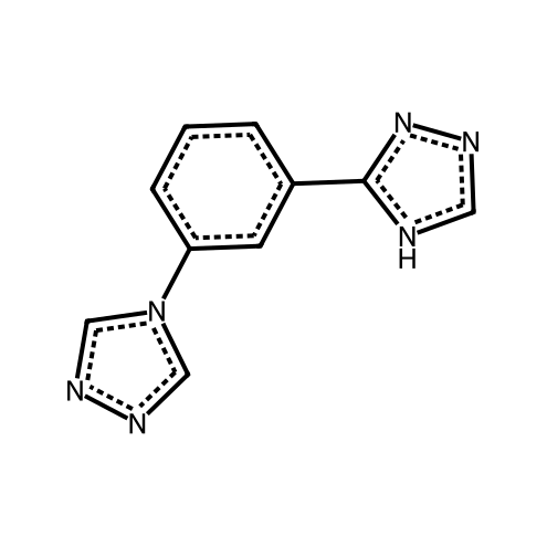 c1cc(-c2nnc[nH]2)cc(-n2cnnc2)c1